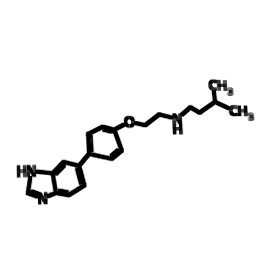 CC(C)CCNCCOc1ccc(-c2ccc3nc[nH]c3c2)cc1